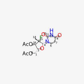 CC(=O)OC[C@H]1O[C@@H](n2ccc(=O)[nH]c2=O)[C@@](C)(F)C1OC(C)=O